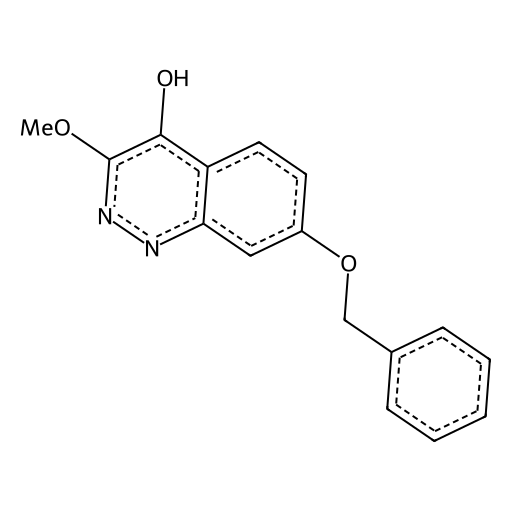 COc1nnc2cc(OCc3ccccc3)ccc2c1O